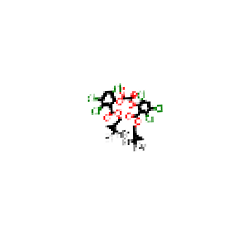 CCCC1(CC)CC1COC(=O)c1c(Cl)c(Cl)cc(Cl)c1OC(=O)C(=O)Oc1c(Cl)cc(Cl)c(Cl)c1C(=O)OCC1CC1(CC)CCC